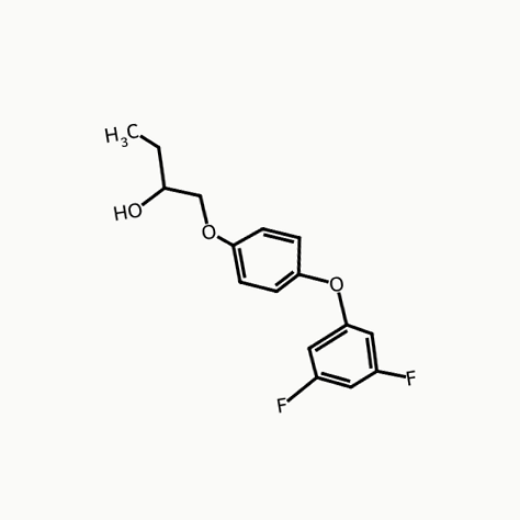 CCC(O)COc1ccc(Oc2cc(F)cc(F)c2)cc1